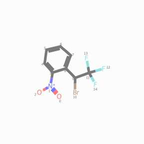 O=[N+]([O-])c1ccccc1C(Br)C(F)(F)F